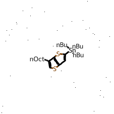 CCCCCCCCc1csc2c[c]([Sn]([CH2]CCC)([CH2]CCC)[CH2]CCC)sc12